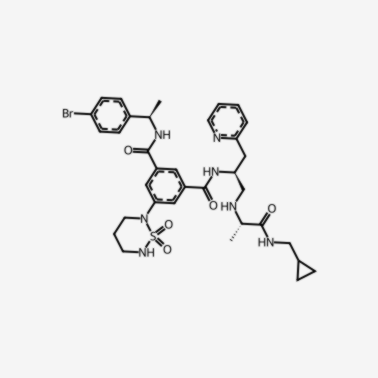 C[C@H](NC[C@H](Cc1ccccn1)NC(=O)c1cc(C(=O)N[C@H](C)c2ccc(Br)cc2)cc(N2CCCNS2(=O)=O)c1)C(=O)NCC1CC1